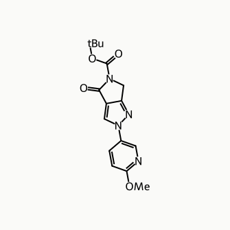 COc1ccc(-n2cc3c(n2)CN(C(=O)OC(C)(C)C)C3=O)cn1